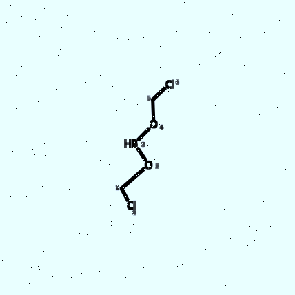 ClCOBOCCl